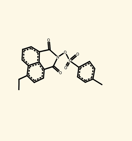 CCc1ccc2c3c(cccc13)C(=O)N(OS(=O)(=O)c1ccc(C)cc1)C2=O